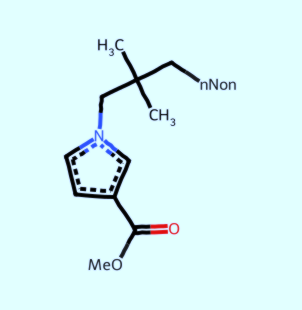 CCCCCCCCCCC(C)(C)Cn1ccc(C(=O)OC)c1